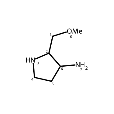 COCC1NCCC1N